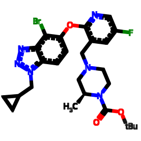 C[C@H]1CN(Cc2cc(F)cnc2Oc2ccc3c(nnn3CC3CC3)c2Br)CCN1C(=O)OC(C)(C)C